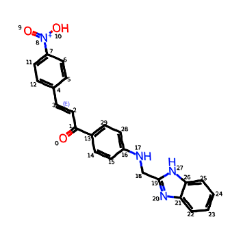 O=C(/C=C/c1ccc([N+](=O)O)cc1)c1ccc(NCc2nc3ccccc3[nH]2)cc1